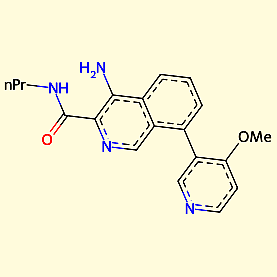 CCCNC(=O)c1ncc2c(-c3cnccc3OC)cccc2c1N